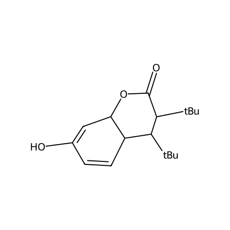 CC(C)(C)C1C(=O)OC2C=C(O)C=CC2C1C(C)(C)C